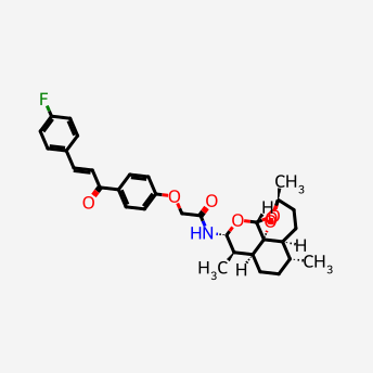 C[C@H]1[C@H](NC(=O)COc2ccc(C(=O)/C=C/c3ccc(F)cc3)cc2)O[C@@H]2O[C@@]3(C)CC[C@H]4[C@H](C)CC[C@@H]1[C@@]24OO3